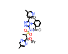 COc1cccc(OC)c1-n1c(NS(=O)(=O)C(C)[C@@H](OC(C)C)c2ncc(C)cn2)nnc1-c1cncc(C)c1